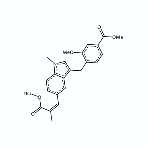 COC(=O)c1ccc(Cc2cn(C)c3ccc(C=C(C)C(=O)OC(C)(C)C)cc23)c(OC)c1